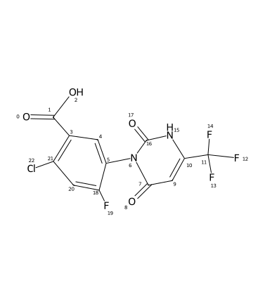 O=C(O)c1cc(-n2c(=O)cc(C(F)(F)F)[nH]c2=O)c(F)cc1Cl